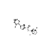 O=C(N[C@@H]1C[C@H]2CC[C@@H]1N2)c1ccc(-c2ccncc2F)[nH]1